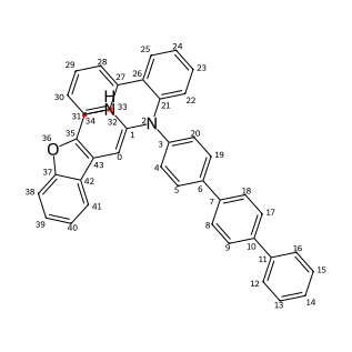 C1=C(N(c2ccc(-c3ccc(-c4ccccc4)cc3)cc2)c2ccccc2-c2ccccc2)NCc2oc3ccccc3c21